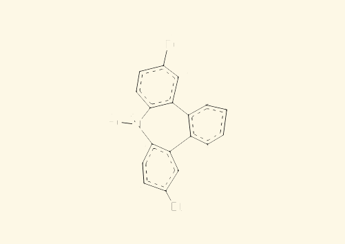 CCc1ccc2c(c1)-c1ccccc1-c1cc(CC)ccc1N2CC